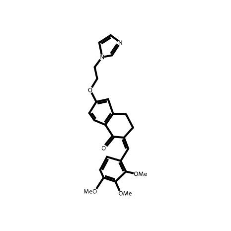 COc1ccc(C=C2CCc3cc(OCCn4ccnc4)ccc3C2=O)c(OC)c1OC